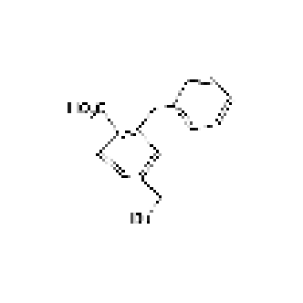 C[CH]C(C)Cc1ccc(C(=O)O)c(Cc2ccccc2)c1